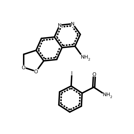 NC(=O)c1ccccc1I.Nc1cnnc2cc3c(cc12)OOC3